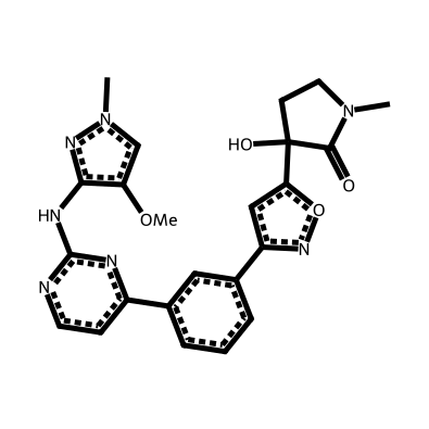 COc1cn(C)nc1Nc1nccc(-c2cccc(-c3cc(C4(O)CCN(C)C4=O)on3)c2)n1